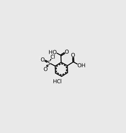 Cl.O=C(O)c1cccc(S(=O)(=O)Cl)c1C(=O)O